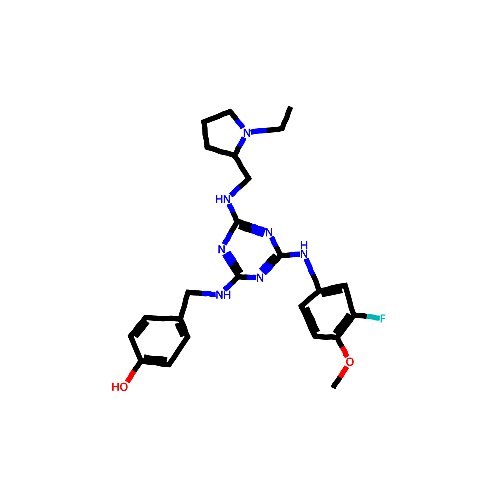 CCN1CCCC1CNc1nc(NCc2ccc(O)cc2)nc(Nc2ccc(OC)c(F)c2)n1